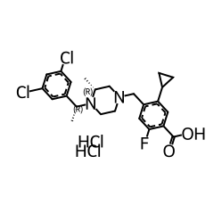 C[C@@H]1CN(Cc2cc(F)c(C(=O)O)cc2C2CC2)CCN1[C@H](C)c1cc(Cl)cc(Cl)c1.Cl.Cl